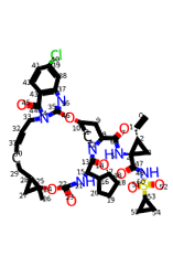 C=C[C@@H]1C[C@]1(NC(=O)C1CC2CN1C(=O)C(C1CCCC1)NC(=O)OC1(C)CC1CCC=CCn1c(nc3cc(Cl)ccc3c1=O)O2)C(=O)NS(=O)(=O)C1CC1